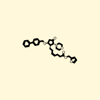 O=C(CC/C=C\CC[C@H]1[C@@H](OCc2ccc(-c3ccccc3)cc2)CC(=O)[C@@H]1N1CCOCC1)OCc1ccco1